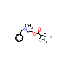 CC(C)C(=O)OCCN(C)Cc1ccccc1